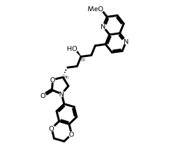 COc1ccc2nccc(CC[C@H](O)CC[C@@H]3CN(c4ccc5c(c4)OCCO5)C(=O)O3)c2n1